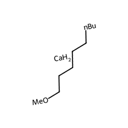 CCCCCCCCCOC.[CaH2]